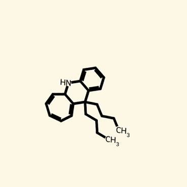 CCCCC1(CCCC)C2=CC=CC=CC2Nc2ccccc21